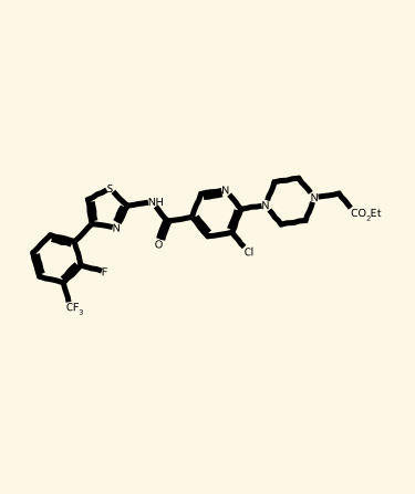 CCOC(=O)CN1CCN(c2ncc(C(=O)Nc3nc(-c4cccc(C(F)(F)F)c4F)cs3)cc2Cl)CC1